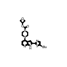 CC(C)(C)c1cnc(-c2cc3c(N4CCN(C(=O)OC5COC5)CC4)ccnc3[nH]2)s1